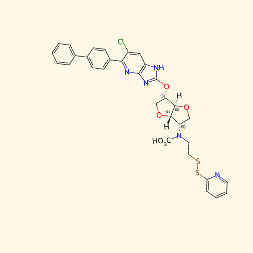 O=C(O)N(CCSSc1ccccn1)[C@H]1CO[C@H]2[C@H]1OC[C@@H]2Oc1nc2nc(-c3ccc(-c4ccccc4)cc3)c(Cl)cc2[nH]1